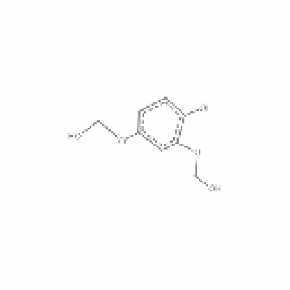 OCOc1ccc(O)c(OCO)c1